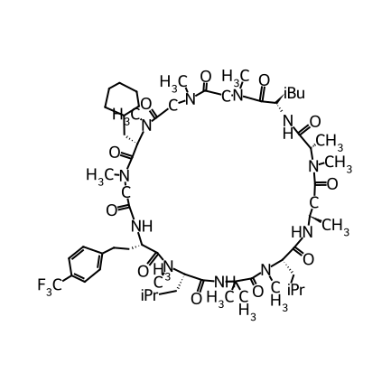 CC[C@H](C)[C@@H]1NC(=O)[C@H](C)N(C)C(=O)C[C@@H](C)NC(=O)[C@H](CC(C)C)N(C)C(=O)C(C)(C)NC(=O)[C@H](CC(C)C)N(C)C(=O)[C@H](CCc2ccc(C(F)(F)F)cc2)NC(=O)CN(C)C(=O)[C@H](CC2CCCCC2)N(C)C(=O)CN(C)C(=O)CN(C)C1=O